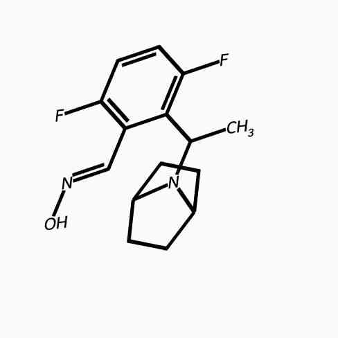 CC(c1c(F)ccc(F)c1C=NO)N1C2CCC1CC2